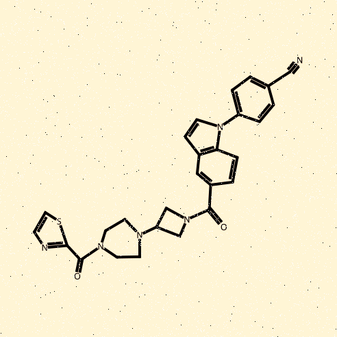 N#Cc1ccc(-n2ccc3cc(C(=O)N4CC(N5CCN(C(=O)c6nccs6)CC5)C4)ccc32)cc1